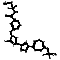 Cc1nc(-c2nc(C3=CCC=C(OC(C)(F)P)C=C3)no2)nn1Cc1cccc(C(=O)NC(C)(C)CO)c1